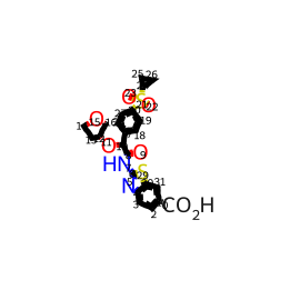 O=C(O)c1ccc2nc(NC(=O)C(OC3CCOC3)c3ccc(S(=O)(=O)C4CC4)cc3)sc2c1